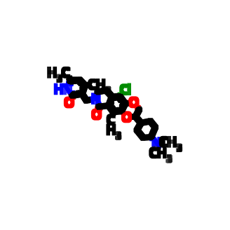 Cc1cc(C)c(CN2CCc3c(Cl)c4c(c(C)c3C2=O)OC(C2CCC(N(C)C)CC2)CO4)c(=O)[nH]1